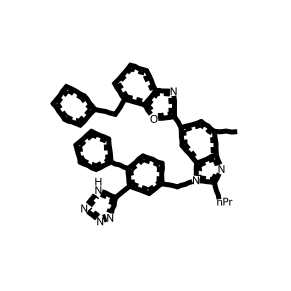 CCCc1nc2c(C)cc(-c3nc4cccc(Cc5ccccc5)c4o3)cc2n1Cc1ccc(-c2ccccc2)c(-c2nnn[nH]2)c1